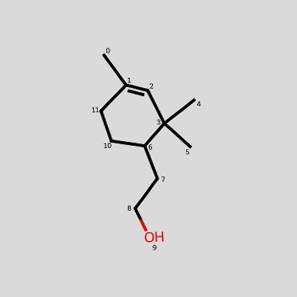 CC1=CC(C)(C)C(CCO)CC1